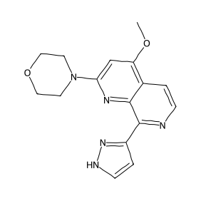 COc1cc(N2CCOCC2)nc2c(-c3cc[nH]n3)nccc12